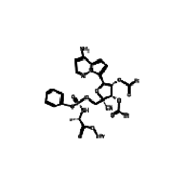 CCCOC(=O)[C@H](C)N[P@](=O)(OC[C@@]1(C#N)O[C@@H](c2ccc3c(N)ccnn23)[C@H](OC(=O)CC)[C@@H]1OC(=O)CC)Oc1ccccc1